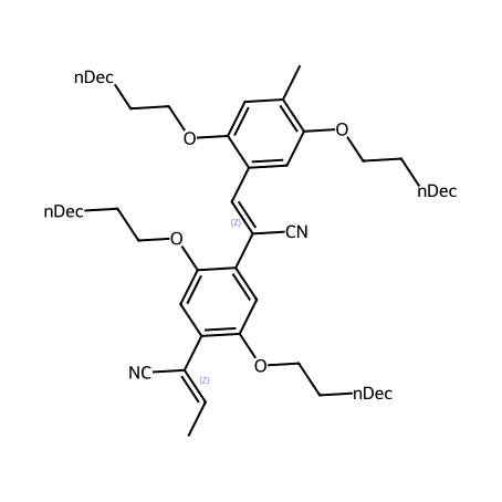 C/C=C(\C#N)c1cc(OCCCCCCCCCCCC)c(/C(C#N)=C/c2cc(OCCCCCCCCCCCC)c(C)cc2OCCCCCCCCCCCC)cc1OCCCCCCCCCCCC